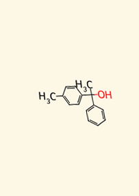 Cc1ccc(C(C)(O)c2ccccc2)cc1